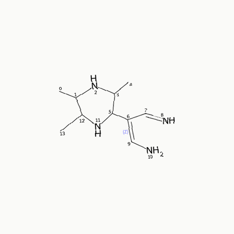 CC1NC(C)C(/C(C=N)=C/N)NC1C